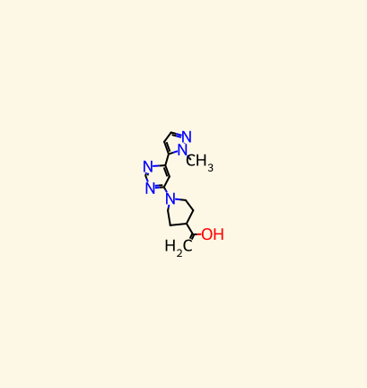 C=C(O)C1CCN(c2cc(-c3ccnn3C)ncn2)CC1